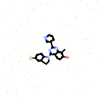 Cc1c(Br)ccc2c(N3CCc4cc(Cl)ccc43)nc(-c3cccnc3)nc12